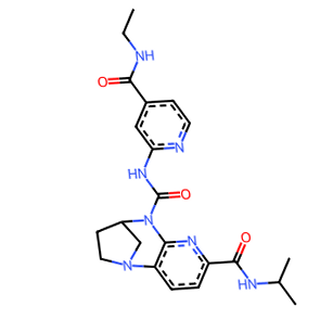 CCNC(=O)c1ccnc(NC(=O)N2c3nc(C(=O)NC(C)C)ccc3N3CCC2C3)c1